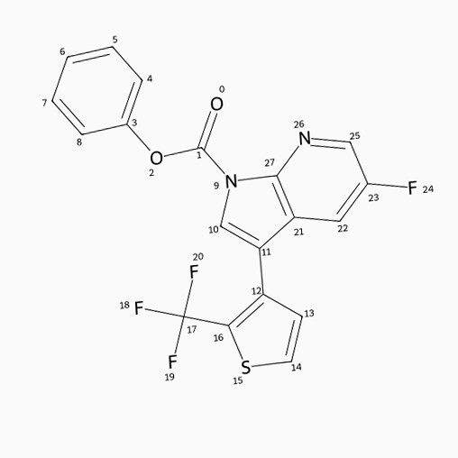 O=C(Oc1ccccc1)n1cc(-c2ccsc2C(F)(F)F)c2cc(F)cnc21